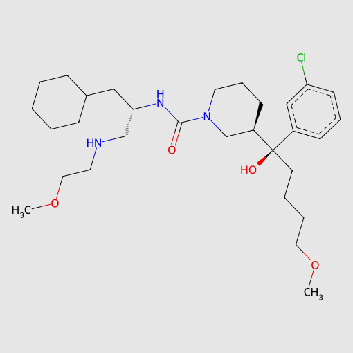 COCCCC[C@@](O)(c1cccc(Cl)c1)[C@@H]1CCCN(C(=O)N[C@H](CNCCOC)CC2CCCCC2)C1